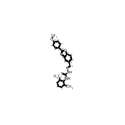 Cc1cccc(C)c1NC(=S)NN=Cc1ccc2oc(-c3ccc(OC(F)(F)F)cc3)nc2c1